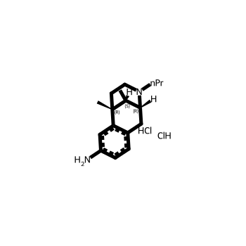 CCCN1CC[C@@]2(C)c3cc(N)ccc3C[C@@H]1[C@H]2C.Cl.Cl